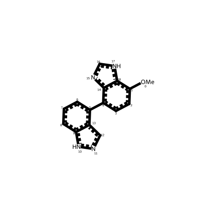 COc1ccc(-c2cccc3[nH]ncc23)c2nc[nH]c12